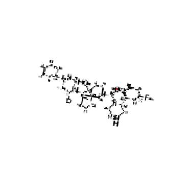 O=C(N1CC[C@@](O)(Cn2ccc(-c3ccccc3)cc2=O)C2(CCCC2)C1)N1CCNC[C@H]1c1cc(F)ccc1F